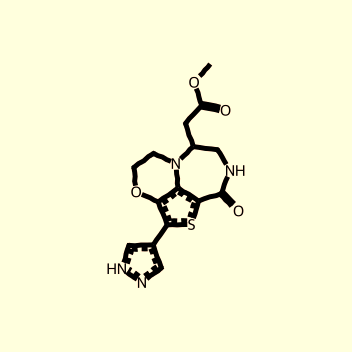 COC(=O)CC1CNC(=O)c2sc(-c3cn[nH]c3)c3c2N1CCO3